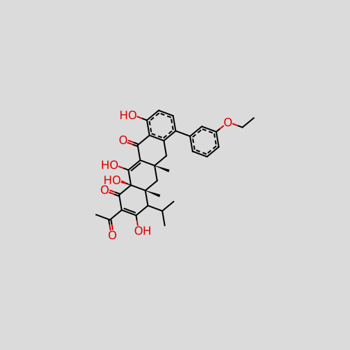 CCOc1cccc(-c2ccc(O)c3c2C[C@]2(C)C[C@]4(C)C(C(C)C)C(O)=C(C(C)=O)C(=O)[C@]4(O)C(O)=C2C3=O)c1